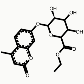 CCOC(=O)C1OC(Oc2ccc3c(C)cc(=O)oc3c2)[C@@H](O)C(O)C1O